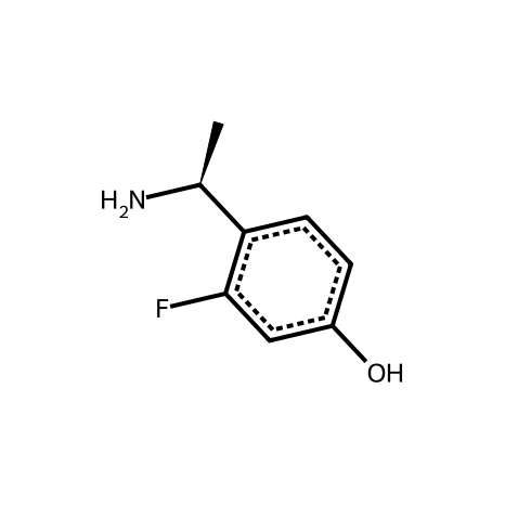 C[C@H](N)c1ccc(O)cc1F